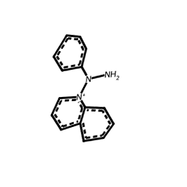 NN(c1ccccc1)[n+]1cccc2ccccc21